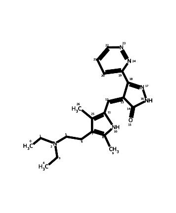 CCN(CC)CCc1c(C)[nH]c(C=C2C(=O)NN=C2c2cccnn2)c1C